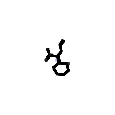 C=CC/C(=C1\NCCCS1)[N+](=O)[O-]